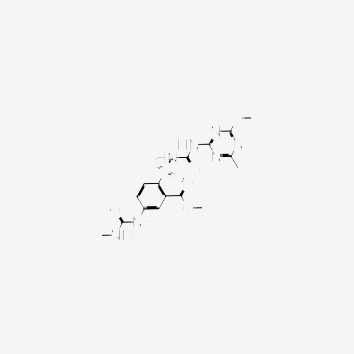 CNC(=O)Nc1ccc(S(=O)(=O)NC(=O)Nc2nc(C)nc(OC)n2)c(C(=O)OC)c1